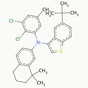 Cc1cc(Cl)c(Cl)c(N(c2ccc3c(c2)C(C)(C)CCC3)c2csc3ccc(C(C)(C)C)cc23)c1